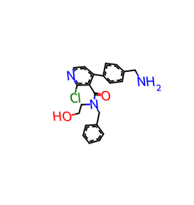 NCc1ccc(-c2ccnc(Cl)c2C(=O)N(CCO)Cc2ccccc2)cc1